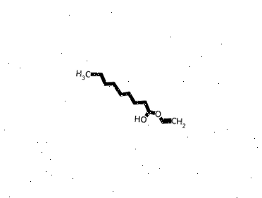 C=COC(O)CCCCCCCC